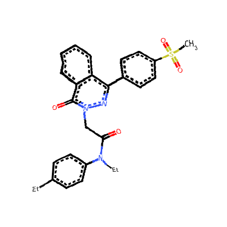 CCc1ccc(N(CC)C(=O)Cn2nc(-c3ccc(S(C)(=O)=O)cc3)c3ccccc3c2=O)cc1